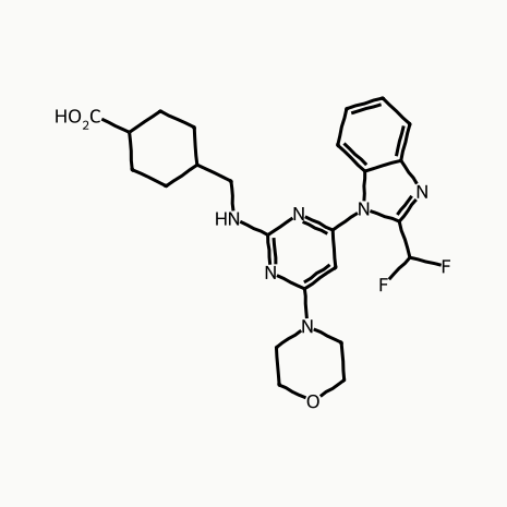 O=C(O)C1CCC(CNc2nc(N3CCOCC3)cc(-n3c(C(F)F)nc4ccccc43)n2)CC1